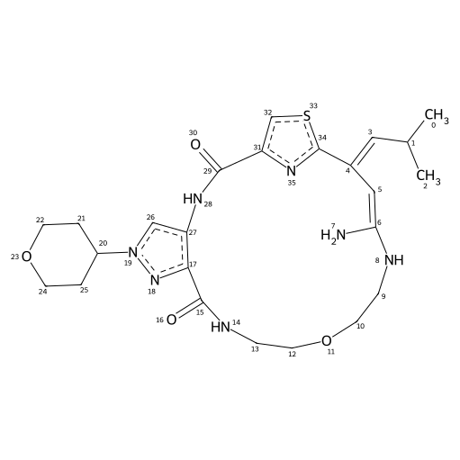 CC(C)/C=C1\C=C(/N)NCCOCCNC(=O)c2nn(C3CCOCC3)cc2NC(=O)c2csc1n2